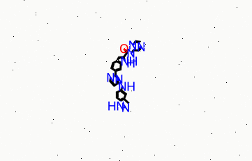 O=C(Nc1cnccn1)c1cc2ccc(-c3nccc(Nc4ccc5[nH]ncc5c4)n3)cc2[nH]1